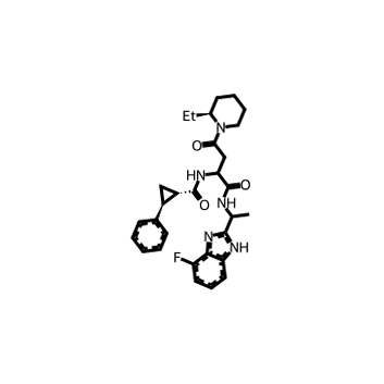 CC[C@H]1CCCCN1C(=O)CC(NC(=O)[C@H]1C[C@@H]1c1ccccc1)C(=O)NC(C)c1nc2c(F)cccc2[nH]1